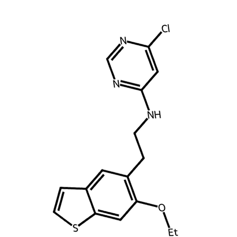 CCOc1cc2sccc2cc1CCNc1cc(Cl)ncn1